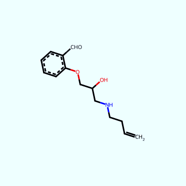 C=CCCNCC(O)COc1ccccc1C=O